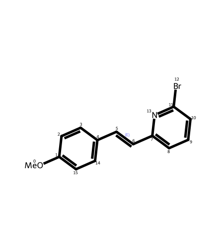 COc1ccc(/C=C/c2cccc(Br)n2)cc1